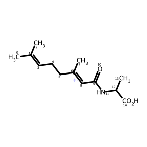 CC(C)=CCC/C(C)=C/C(=O)NC(C)C(=O)O